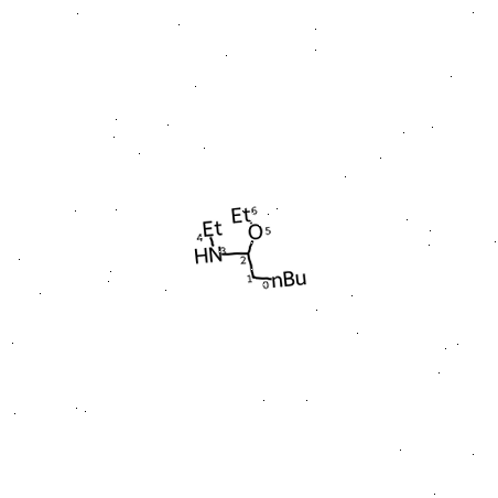 CCCCCC(NCC)OCC